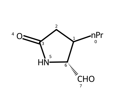 [CH2]CCC1CC(=O)N[C@H]1C=O